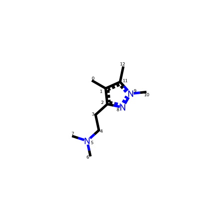 Cc1c(CCN(C)C)nn(C)c1C